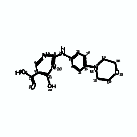 O=C(O)c1cnc(Nc2ccc(N3CCOCC3)cc2)nc1O